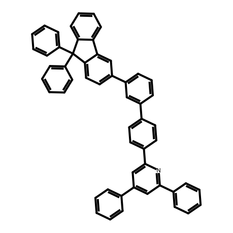 c1ccc(-c2cc(-c3ccccc3)nc(-c3ccc(-c4cccc(-c5ccc6c(c5)-c5ccccc5C6(c5ccccc5)c5ccccc5)c4)cc3)c2)cc1